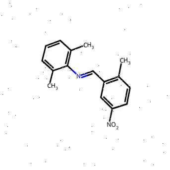 Cc1ccc([N+](=O)[O-])cc1/C=N/c1c(C)cccc1C